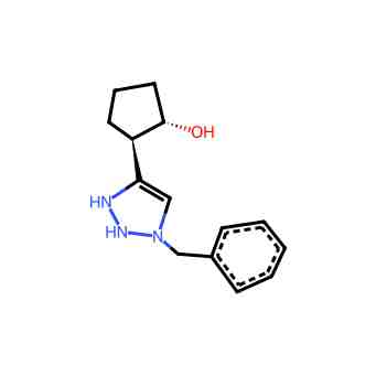 O[C@H]1CCC[C@@H]1C1=CN(Cc2ccccc2)NN1